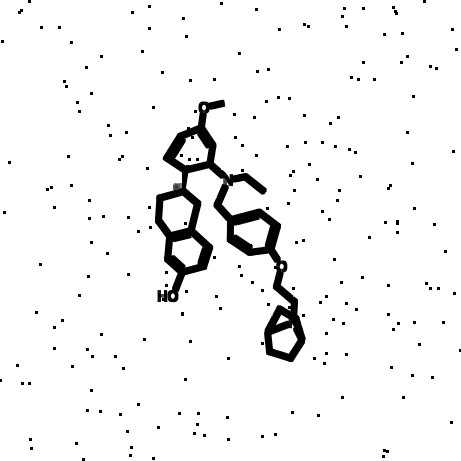 CCN(Cc1ccc(OCCN2C3CCC2CC3)cc1)C1C=C(OC)C=CC1[C@@H]1CCc2cc(O)ccc2C1